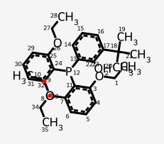 CCOc1cccc(OCC)c1P(c1cccc(C(C)(C)C)c1O)c1c(OCC)cccc1OCC